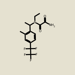 CCN(C(=O)C(N)=O)C(C)c1ccc(C(F)(F)C(F)(F)F)cc1C